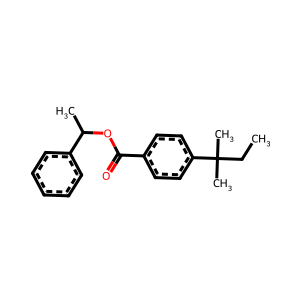 CCC(C)(C)c1ccc(C(=O)OC(C)c2ccccc2)cc1